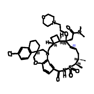 C[C@@H]1[C@@H](C)C/C=C/[C@@](CC(=O)N(C)C)(OCCN2CCOCC2)[C@@H]2CC[C@H]2CN2C[C@@]3(CCCc4cc(Cl)ccc43)COc3ccc(cc32)C(=O)NS1(=O)=O